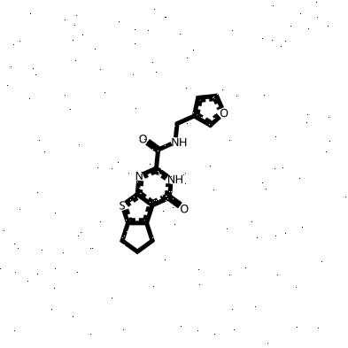 O=C(NCc1ccoc1)c1nc2sc3c(c2c(=O)[nH]1)CCC3